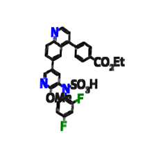 CCOC(=O)c1ccc(-c2ccnc3ccc(-c4cnc(OC)c(N(c5ccc(F)cc5F)S(=O)(=O)O)c4)cc23)cc1